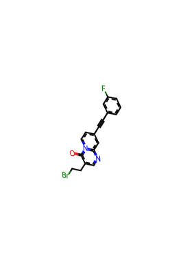 O=c1c(CCBr)cnc2cc(C#Cc3cccc(F)c3)ccn12